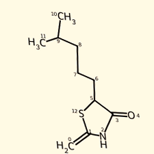 C=C1NC(=O)C(CCCC(C)C)S1